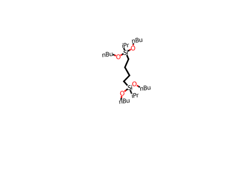 CCCCO[Si](CCCC[Si](OCCCC)(OCCCC)C(C)C)(OCCCC)C(C)C